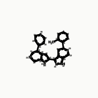 Cc1ccccc1-c1cc2c(-c3cc4c(-c5ccncc5)cncc4[nH]3)n[nH]c2cn1